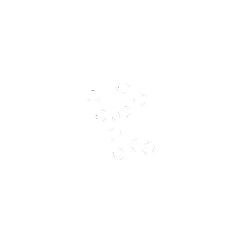 c1ccc2c(c1)ccc1c2oc2cccc(-c3ccc(N(c4ccc(-c5cccc6oc7ccccc7c56)cc4)c4ccc5sc6ccccc6c5c4)cc3)c21